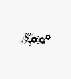 COC(=O)CN(C)C(=O)c1ccc(OC2CCCN(C3CCCC3)C2)c(OC)c1